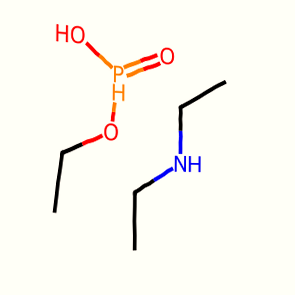 CCNCC.CCO[PH](=O)O